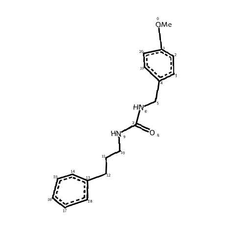 COc1ccc(CNC(=O)NCCCc2ccccc2)cc1